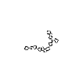 C1=C(c2ccccc2)Cc2ccc(-c3ccc4c(c3)oc3c5cc(-c6ccc(N(c7ccccc7)c7ccc8c(c7)Cc7ccccc7-8)cc6)ccc5ccc43)cc21